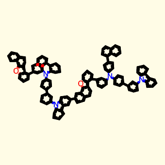 c1ccc(-c2ccccc2N(c2ccc(-c3cccc(-n4c5ccccc5c5cc(-c6ccc7ccc8c(oc9cccc(-c%10cccc(N(c%11ccc(-c%12cccc(-n%13c%14ccccc%14c%14ccccc%14%13)c%12)cc%11)c%11ccc(-c%12cccc%13ccccc%12%13)cc%11)c%10)c98)c7c6)ccc54)c3)cc2)c2cccc(-c3cccc4oc5c6ccccc6ccc5c34)c2)cc1